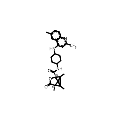 Cc1ccc2nc(C(F)(F)F)cc(NC3CCC(NC(=O)[C@]45OC(=O)[C@@]6(C)C7(C)C4(C)C765)CC3)c2c1